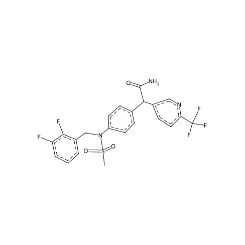 CS(=O)(=O)N(Cc1cccc(F)c1F)c1ccc(C(C(N)=O)c2ccc(C(F)(F)F)nc2)cc1